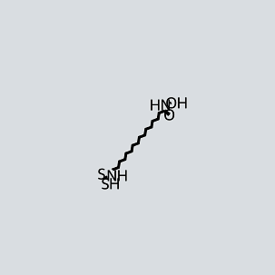 O=C(CCCCCCCCCCCCCCCNC(=S)S)NO